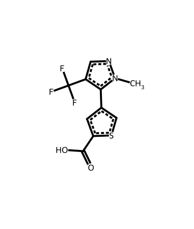 Cn1ncc(C(F)(F)F)c1-c1csc(C(=O)O)c1